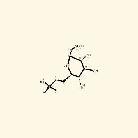 CC(C)(C)[Si](C)(C)OC[C@H]1O[C@@H](OS(=O)(=O)O)[C@H](O)[C@@H](O)[C@@H]1O